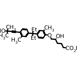 CCC(CC)(c1ccc(C#CC(C)(C)O)c(C)c1)c1ccc(OC[C@H](O)CCCC(=O)O)c(C)c1